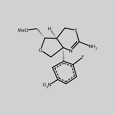 COC[C@H]1OC[C@]2(c3cc([N+](=O)[O-])ccc3F)N=C(N)SC[C@H]12